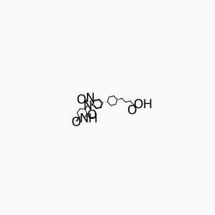 Cn1c(=O)n(C2CCC(=O)NC2=O)c2ccc([C@H]3CC[C@H](CCCC(=O)O)CC3)cc21